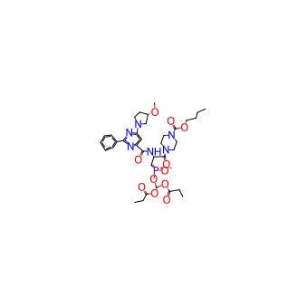 CCCCOC(=O)N1CCN(C(=O)[C@H](/C=[P+](\[O-])OC(OC(=O)CC)OC(=O)CC)NC(=O)c2cc(N3CC[C@H](OC)C3)nc(-c3ccccc3)n2)CC1